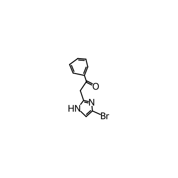 O=C(Cc1nc(Br)c[nH]1)c1ccccc1